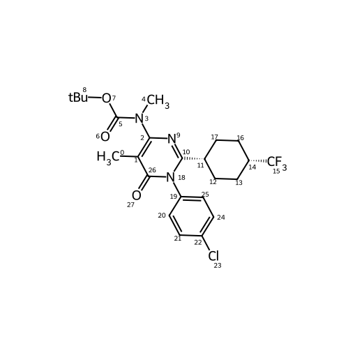 Cc1c(N(C)C(=O)OC(C)(C)C)nc([C@H]2CC[C@@H](C(F)(F)F)CC2)n(-c2ccc(Cl)cc2)c1=O